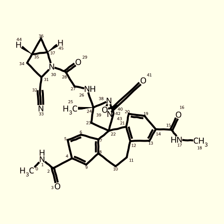 CNC(=O)c1ccc2c(c1)CCc1cc(C(=O)NC)ccc1C21C[C@](C)(NCC(=O)N2C(C#N)C[C@@H]3C[C@@H]32)n2oc(=O)nc21